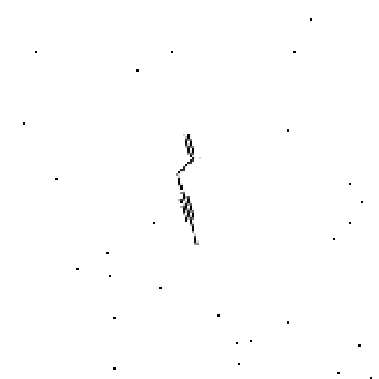 C=[C]CC#CC